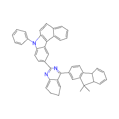 CC1(C)c2cc(-c3nc(-c4ccc5c(c4)c4c6ccccc6ccc4n5-c4ccccc4)nc4c3=CCCC=4)ccc2C2C=CC=CC21